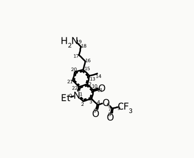 CCn1cc(C(=O)OC(=O)C(F)(F)F)c(=O)c2c(C)c(CCCN)ccc21